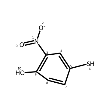 O=[N+]([O-])c1cc(S)ccc1O